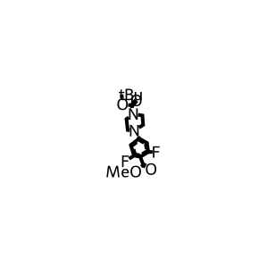 COC(=O)c1c(F)cc(N2CCN(C(=O)OC(C)(C)C)CC2)cc1F